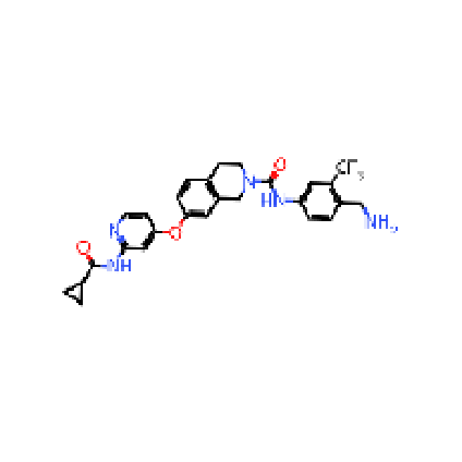 NCc1ccc(NC(=O)N2CCc3ccc(Oc4ccnc(NC(=O)C5CC5)c4)cc3C2)cc1C(F)(F)F